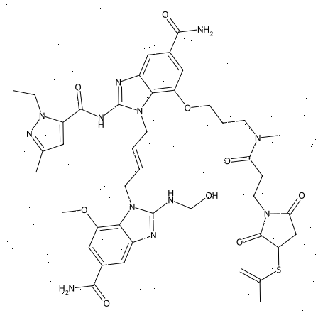 C=C(C)SC1CC(=O)N(CCC(=O)N(C)CCCOc2cc(C(N)=O)cc3nc(NC(=O)c4cc(C)nn4CC)n(C/C=C/Cn4c(NCO)nc5cc(C(N)=O)cc(OC)c54)c23)C1=O